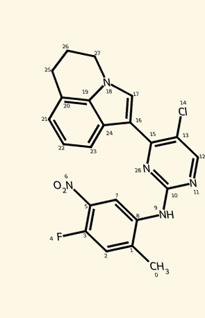 Cc1cc(F)c([N+](=O)[O-])cc1Nc1ncc(Cl)c(-c2cn3c4c(cccc24)CCC3)n1